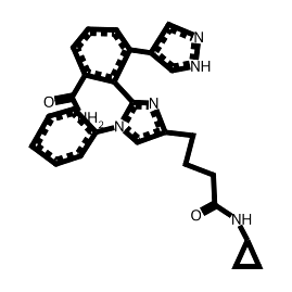 NC(=O)c1cccc(-c2cn[nH]c2)c1-c1nc(CCCC(=O)NC2CC2)cn1-c1ccccc1